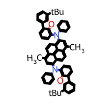 Cc1cc(N(c2ccccc2)c2cccc3c2oc2c(C(C)(C)C)cccc23)c2ccc3c(C)cc(N(c4ccccc4)c4cccc5c4oc4c(C(C)(C)C)cccc45)c4ccc1c2c34